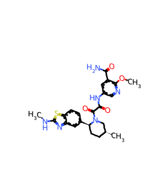 CNc1nc2cc([C@@H]3CC[C@@H](C)CN3C(=O)C(=O)Nc3cnc(OC)c(C(N)=O)c3)ccc2s1